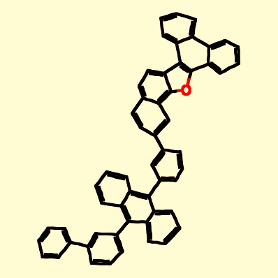 c1ccc(-c2cccc(-c3c4ccccc4c(-c4cccc(-c5ccc6ccc7c(oc8c9ccccc9c9ccccc9c78)c6c5)c4)c4ccccc34)c2)cc1